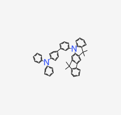 CC1(C)c2ccccc2-c2cc3c(cc21)N(c1cccc(-c2ccc(N(c4ccccc4)c4ccccc4)cc2)c1)c1ccccc1C3(C)C